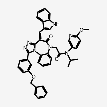 COc1ccc(N(C(=O)CN2C(=O)C(=Cc3c[nH]c4ccccc34)c3nnc(-c4cccc(OCc5ccccc5)c4)n3-c3ccccc32)C(C)C)cn1